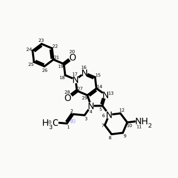 C/C=C/Cn1c(N2CCCC(N)C2)nc2cnn(CC(=O)c3ccccc3)c(=O)c21